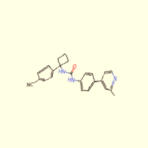 Cc1cc(-c2ccc(NC(=O)NC3(c4ccc(C#N)cc4)CCC3)cc2)ccn1